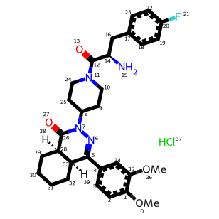 COc1ccc(C2=NN(C3CCN(C(=O)[C@H](N)Cc4ccc(F)cc4)CC3)C(=O)[C@@H]3CCCC[C@H]23)cc1OC.Cl